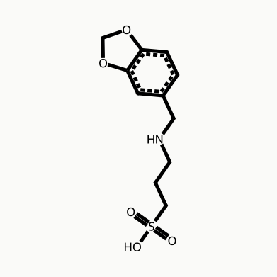 O=S(=O)(O)CCCNCc1ccc2c(c1)OCO2